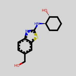 OCc1ccc2nc(N[C@@H]3CCCC[C@H]3O)sc2c1